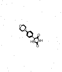 O=C1NC(=O)[C@H](c2ccc(N3CCOCC3)cc2)N1